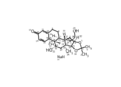 CC1(C)O[C@@H]2C[C@H]3[C@@H]4CCC5=CC(=O)C=C[C@]5(C)[C@@]4(F)[C@@H](O)C[C@]3(C)[C@]2(C(=O)CO)O1.[NaH]